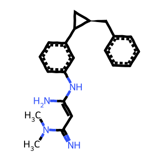 CN(C)C(=N)/C=C(\N)Nc1cccc(C2C[C@H]2Cc2ccccc2)c1